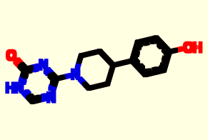 O=c1nc(N2CCC(c3ccc(O)cc3)CC2)nc[nH]1